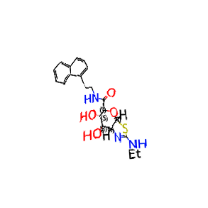 CCNC1=N[C@@H]2[C@@H](O)[C@H](O)[C@@H](C(=O)NCCc3cccc4ccccc34)O[C@@H]2S1